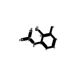 Cc1cccc(N=S(=O)=O)c1Br